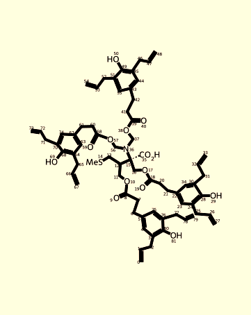 C=CCc1cc(CCC(=O)OCC(CSC)[C@@](COC(=O)CCc2cc(CC=C)c(O)c(CC=C)c2)(C(=O)O)N(COC(=O)CCc2cc(CC=C)c(O)c(CC=C)c2)COC(=O)CCc2cc(CC=C)c(O)c(CC=C)c2)cc(CC=C)c1O